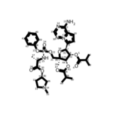 CC(C)C(=O)O[C@H]1[C@H](c2ccc3c(N)ncnn23)O[C@](C)(CO[P@@](=O)(N[C@@H](C)C(=O)O[C@@H]2CCN(C)C2)Oc2ccccc2)[C@H]1OC(=O)C(C)C